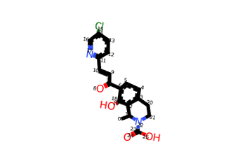 CC1c2c(ccc(C(=O)C=Cc3ccc(Cl)cn3)c2O)CCN1C(=O)O